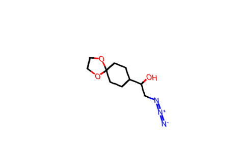 [N-]=[N+]=NCC(O)C1CCC2(CC1)OCCO2